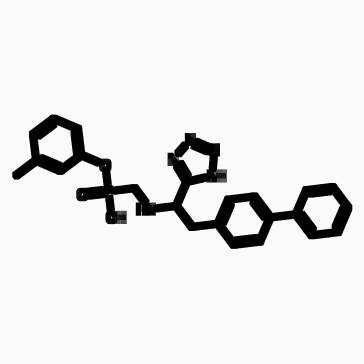 Cc1cccc(OP(=O)(O)CNC(Cc2ccc(-c3ccccc3)cc2)c2nnn[nH]2)c1